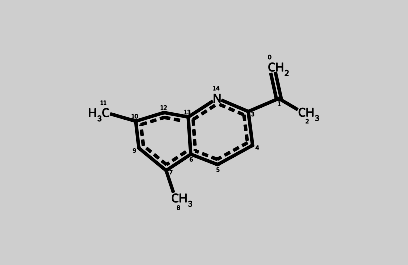 C=C(C)c1ccc2c(C)cc(C)cc2n1